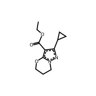 CCOC(=O)c1c(C2CC2)nn2c1OCCC2